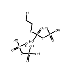 O=P(O)(O)OP(=O)(O)O.O=P(O)(O)OP(=O)(O)OCCCl